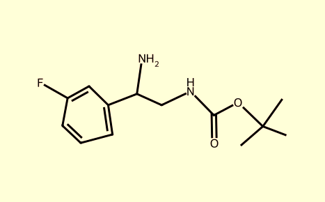 CC(C)(C)OC(=O)NCC(N)c1cccc(F)c1